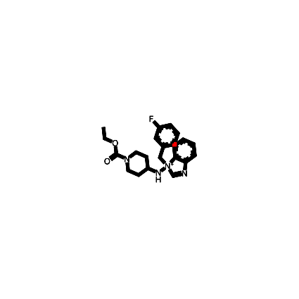 CCOC(=O)N1CCC(N[N+]2(Cc3cccc(F)c3)C=Nc3ccccc32)CC1